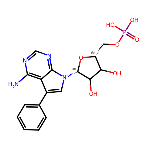 Nc1ncnc2c1c(-c1ccccc1)cn2[C@@H]1O[C@H](COP(=O)(O)O)C(O)C1O